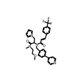 COCCN(C)C(=O)C(Cn1cccc1)N(Cc1ccc(-c2ccncc2)cc1)C(=O)C=Cc1ccc(C(F)(F)F)cc1